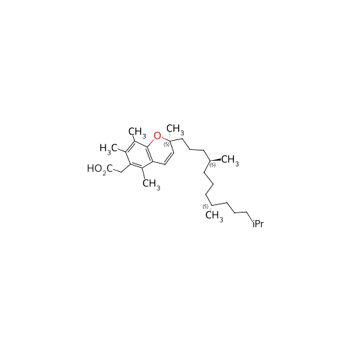 Cc1c(C)c2c(c(C)c1CC(=O)O)C=C[C@](C)(CCC[C@@H](C)CCC[C@@H](C)CCCC(C)C)O2